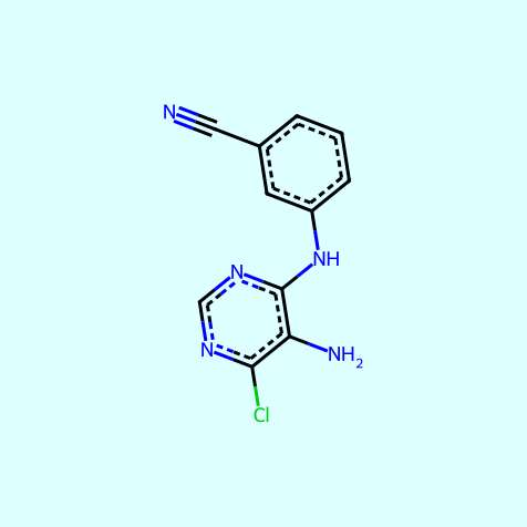 N#Cc1cccc(Nc2ncnc(Cl)c2N)c1